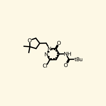 CC1(C)CC(Cn2nc(Cl)cc(NC(=O)C(C)(C)C)c2=O)CO1